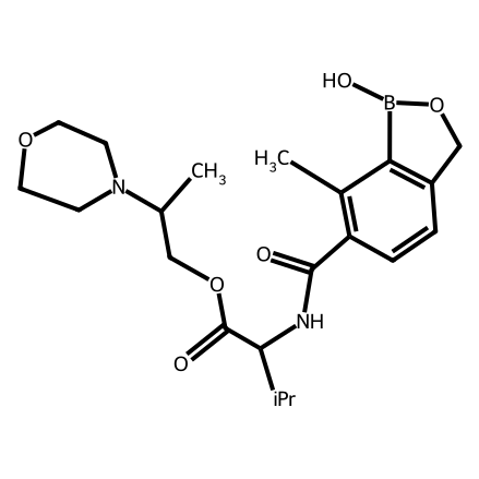 Cc1c(C(=O)NC(C(=O)OCC(C)N2CCOCC2)C(C)C)ccc2c1B(O)OC2